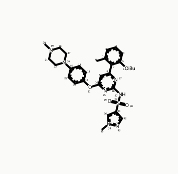 Cc1cccc(OCC(C)C)c1-c1cc(Oc2ccc(N3CCN(C)CC3)cc2)nc(NS(=O)(=O)c2cnn(C)c2)n1